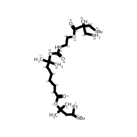 CCCCC(CC)CC(C)(C)OC(=O)CCCCCC(C)(C)OC(=O)NCCOC(=O)C(C)(CN)CC(C)(C)C